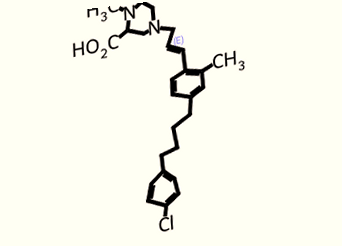 Cc1cc(CCCCc2ccc(Cl)cc2)ccc1/C=C/CN1CCN(C)C(C(=O)O)C1